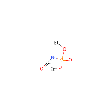 CCOP(=O)(N=C=O)OCC